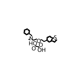 CN(CCOCCc1ccc2sccc2c1)Cc1ccccc1.O=C(O)C(=O)O